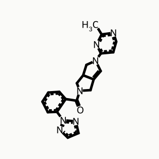 Cc1nccc(N2C=C3CN(C(=O)c4ccccc4-n4nccn4)CC3C2)n1